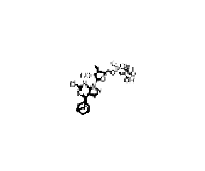 C=C1[C@@H](O)[C@H](n2ncc3c(N4CC5CCC4CC5)nc(Cl)nc32)O[C@@H]1COP(=O)(O)CP(=O)(O)O